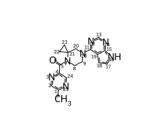 Cc1cnc(C(=O)N2CCN(c3ncnc4[nH]ccc34)CC23CC3)cn1